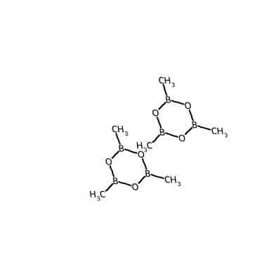 CB1OB(C)OB(C)O1.CB1OB(C)OB(C)O1